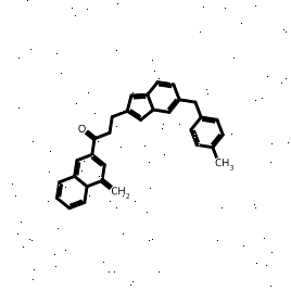 C=C1C=C(C(=O)CCC2=CC3C=C(Cc4ccc(C)cc4)C=CC3=C2)C=C2C=CC=CC12